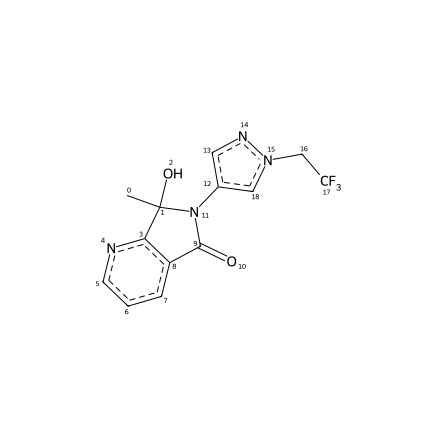 CC1(O)c2ncccc2C(=O)N1c1cnn(CC(F)(F)F)c1